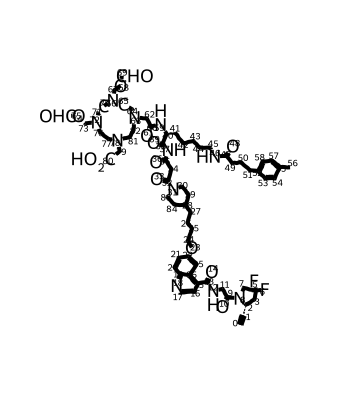 C#C[C@H]1CC(F)(F)CN1C(=O)CNC(=O)c1ccnc2ccc(OCCCCC3CCN(C(=O)CC(=O)NC(=O)[C@H](CCCCCNC(=O)CCCc4ccc(C)cc4)NC(=O)CN4CCN(COC=O)CCN(COC=O)CCN(CC(=O)O)CC4)CC3)cc12